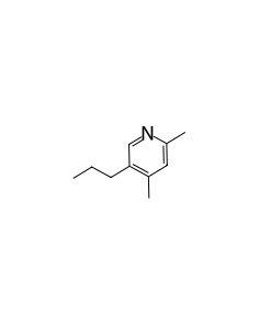 CCCc1cnc(C)cc1C